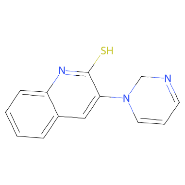 Sc1nc2ccccc2cc1N1C=CC=NC1